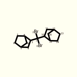 BrC(Br)(C1CC2CCC1C2)C1CC2CCC1C2